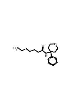 NCCCCCC(=O)NC1(c2ccccc2)CCOCC1